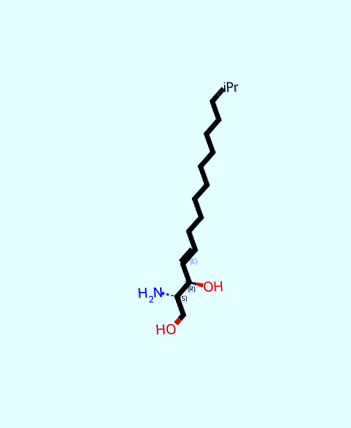 CC(C)CCCCCCCCC/C=C/[C@@H](O)[C@@H](N)CO